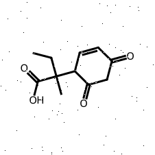 CCC(C)(C(=O)O)C1C=CC(=O)CC1=O